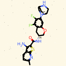 Cc1ccc2c(N)c(C(=O)N[C@H]3COc4cc(N5CC6CCCC5CN6)c(F)c(F)c4C3)sc2n1